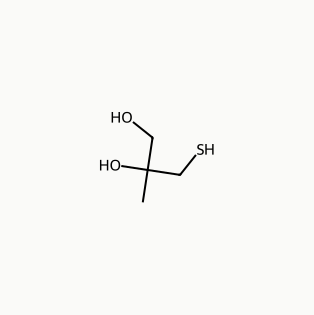 CC(O)(CO)CS